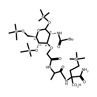 CC(NC(=O)CO[C@H]1[C@H](O[Si](C)(C)C)[C@@H](CO[Si](C)(C)C)OC(O[Si](C)(C)C)[C@@H]1NC(=O)C(C)(C)C)C(=O)NC(CC[Si](C)(C)C)(C(N)=O)C(=O)O